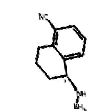 BN[C@H]1CCCc2c(C#N)cccc21